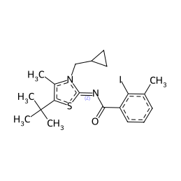 Cc1cccc(C(=O)/N=c2\sc(C(C)(C)C)c(C)n2CC2CC2)c1I